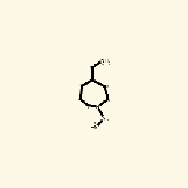 NCC1CCCN(SS)CC1